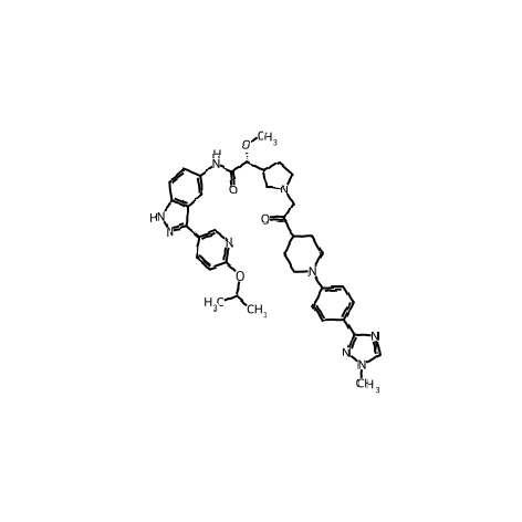 CO[C@@H](C(=O)Nc1ccc2[nH]nc(-c3ccc(OC(C)C)nc3)c2c1)C1CCN(CC(=O)C2CCN(c3ccc(-c4ncn(C)n4)cc3)CC2)C1